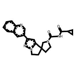 O=C(NC(=O)N1CCC2(CCn3nc(-c4cnc5ccccc5c4)cc32)C1)C1CC1